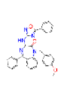 COc1ccc(CN2C(=O)C(Nc3noc(-c4ccccc4)n3)N=C(c3ccccc3)c3ccccc32)cc1